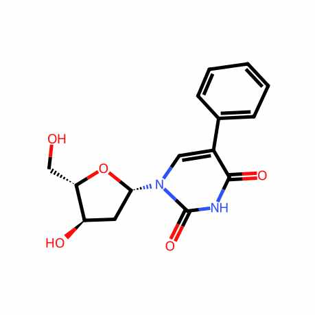 O=c1[nH]c(=O)n([C@@H]2C[C@@H](O)[C@H](CO)O2)cc1-c1ccccc1